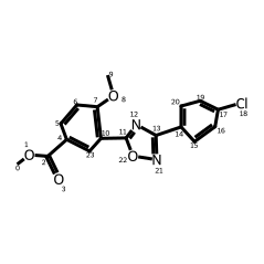 COC(=O)c1ccc(OC)c(-c2nc(-c3ccc(Cl)cc3)no2)c1